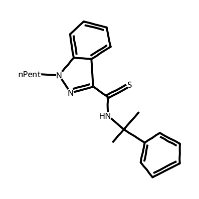 CCCCCn1nc(C(=S)NC(C)(C)c2ccccc2)c2ccccc21